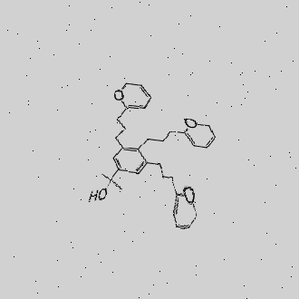 CC(C)(O)c1cc(CCCC2=CC=CCO2)c(CCCC2=CC=CCO2)c(CCCC2=CC=CCO2)c1